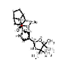 CC(C)(C)OC(=O)N1C2CCC1CC(n1cc(B3OC(C)(C)C(C)(C)O3)cn1)C2